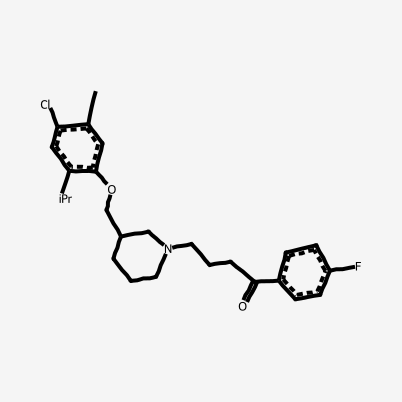 Cc1cc(OCC2CCCN(CCCC(=O)c3ccc(F)cc3)C2)c(C(C)C)cc1Cl